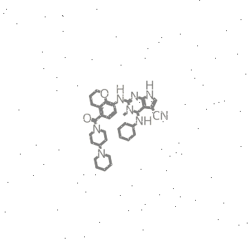 CN1C(Nc2ccc(C(=O)N3CCC(N4CCCCC4)CC3)c3c2OCCC3)=Nc2[nH]cc(C#N)c2C1NC1CCCCC1